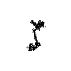 C=CC(=O)N1CCN(c2nc(NCCC(=O)N(C)CCOCCOCCOc3ccc(-c4csc([C@@H]5CCCN5C(=O)[C@@H](NC(O)[C@H](C)NC)C5CCCCC5)n4)c4ccccc34)nc3c(F)c(-c4c(O)cccc4F)c(Cl)cc23)CC1